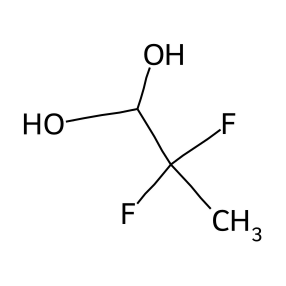 CC(F)(F)C(O)O